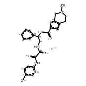 CN1CCc2nc(C(=O)NC(CNC(=O)C(=O)Nc3ccc(Cl)cn3)c3ccccc3)sc2C1.Cl